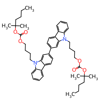 CCCCC(C)(C)OC(=O)OCCCCn1c2ccccc2c2ccc(-c3ccc4c5ccccc5n(CCCCOC(=O)OC(C)(C)CCCC)c4c3)cc21